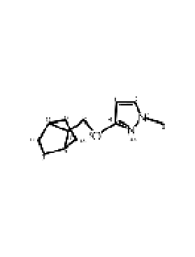 Cn1ccc(OCC2C3CCC2CC3)n1